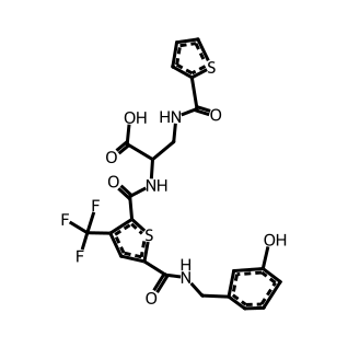 O=C(NCC(NC(=O)c1sc(C(=O)NCc2cccc(O)c2)cc1C(F)(F)F)C(=O)O)c1cccs1